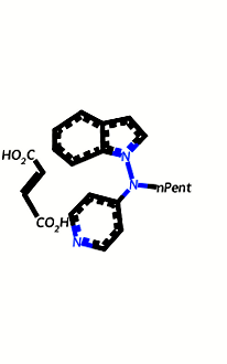 CCCCCN(c1ccncc1)n1ccc2ccccc21.O=C(O)C=CC(=O)O